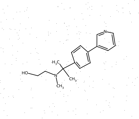 CN(CCO)C(C)(C)c1ccc(-c2c[c]cnc2)cc1